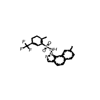 CC1=C(S(=O)(=O)Nn2ncc3ccc4ccc(C)cc4c32)C=C(C(F)(F)F)CC1